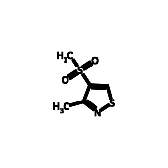 Cc1nscc1S(C)(=O)=O